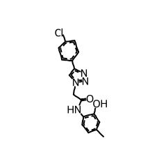 Cc1ccc(NC(=O)Cn2cc(-c3ccc(Cl)cc3)nn2)c(O)c1